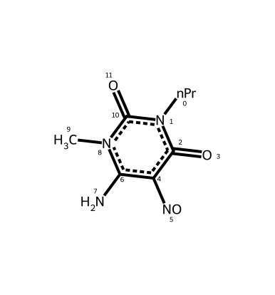 CCCn1c(=O)c(N=O)c(N)n(C)c1=O